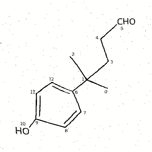 CC(C)(CCC=O)c1ccc(O)cc1